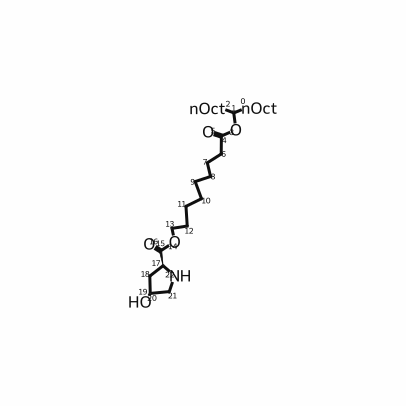 CCCCCCCCC(CCCCCCCC)OC(=O)CCCCCCCCOC(=O)[C@@H]1CC(O)CN1